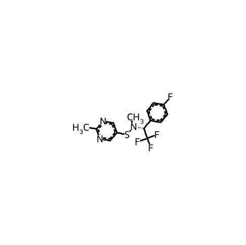 Cc1ncc(SN(C)[C@H](c2ccc(F)cc2)C(F)(F)F)cn1